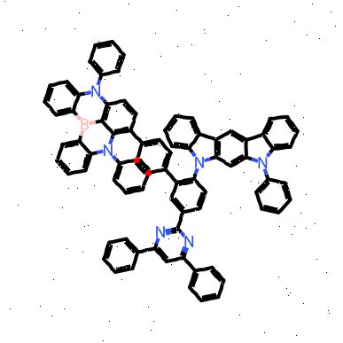 c1ccc(-c2cc(-c3ccccc3)nc(-c3ccc(-n4c5ccccc5c5cc6c7ccccc7n(-c7ccccc7)c6cc54)c(-c4ccc(-c5ccc6c7c5N(c5ccccc5)c5ccccc5B7c5ccccc5N6c5ccccc5)cc4)c3)n2)cc1